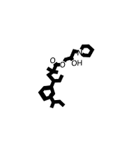 CCC(C)c1cccc(C(CC)CC(C)(C)C(=O)OCC(O)CN2CCCCC2)c1